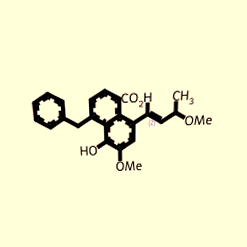 COc1cc(/C(=C/C(C)OC)C(=O)O)c2cccc(Cc3ccccc3)c2c1O